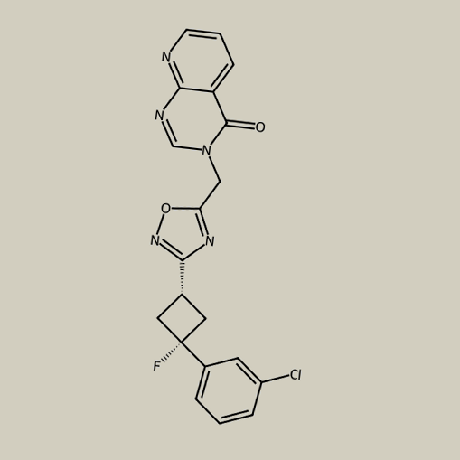 O=c1c2cccnc2ncn1Cc1nc([C@H]2C[C@](F)(c3cccc(Cl)c3)C2)no1